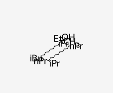 CCC(C)CCCCCCCCCCC(C)(O)CC.CCCC(CCCCCCCCC(CCC)C(C)C)C(C)C